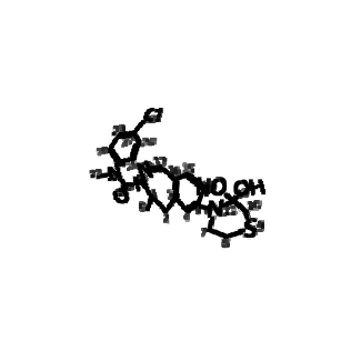 CC1Cc2cc(N3CCSCC3(O)O)ccc2C=NN1C(=O)N(C)c1ccc(Cl)cc1